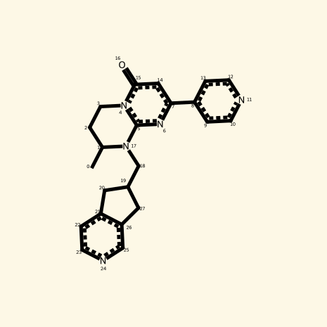 CC1CCn2c(nc(-c3ccncc3)cc2=O)N1CC1Cc2ccncc2C1